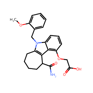 COc1ccccc1Cn1c2c(c3c(OCC(=O)O)cccc31)C(C(N)=O)CCCC2